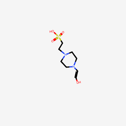 O=S(=O)(O)CCN1CCN(C=CO)CC1